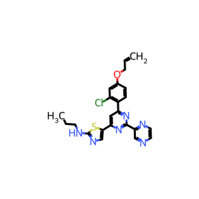 C=CCOc1ccc(-c2cc(-c3cnc(NCCC)s3)nc(-c3cnccn3)n2)c(Cl)c1